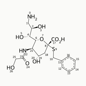 NC[C@@H](O)[C@@H](O)[C@@H]1O[C@@](SCc2ccccc2)(C(=O)O)C[C@H](O)[C@H]1NC(=O)CO